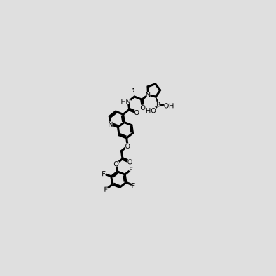 C[C@@H](NC(=O)c1ccnc2cc(OCC(=O)Oc3c(F)c(F)cc(F)c3F)ccc12)C(=O)N1CCC[C@H]1B(O)O